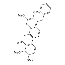 C=Cc1c(-c2ccc3c(Cc4ccccc4)c(OC)c(OC)cc3c2C)ccc(OC)c1OC